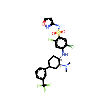 CN(C)[C@H]1CC(c2cccc(C(F)(F)F)c2)CC[C@@H]1Nc1cc(F)c(S(=O)(=O)Nc2ccon2)cc1Cl